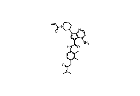 C=CC(=O)N1CCCC(n2nc(C(=O)Nc3ccc(CC(=O)N(C)C)c(F)c3C)c3c(N)ncnc32)C1